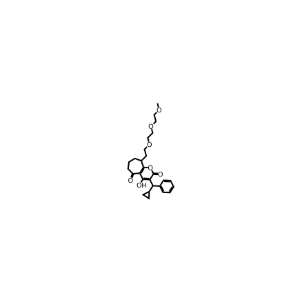 COCCOCCOCCC1CCCC(=O)c2c1oc(=O)c(C(c1ccccc1)C1CC1)c2O